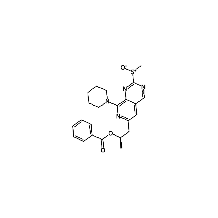 C[C@H](Cc1cc2cnc([S+](C)[O-])nc2c(N2CCCCC2)n1)OC(=O)c1ccccc1